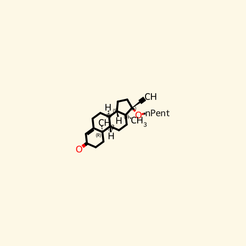 C#C[C@]1(OCCCCC)CC[C@H]2[C@@H]3CCC4=CC(=O)CC[C@]4(C)[C@H]3CC[C@@]21C